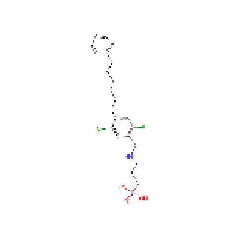 O=P(O)(O)CCCNCc1cc(Br)c(CCCCCCc2ccccc2)cc1F